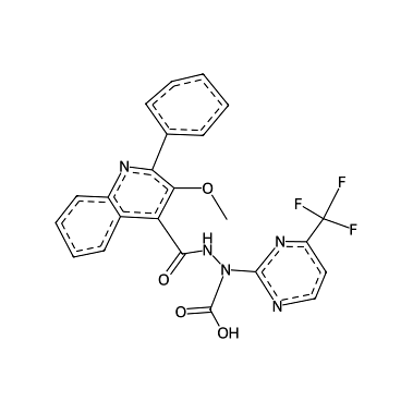 COc1c(-c2ccccc2)nc2ccccc2c1C(=O)NN(C(=O)O)c1nccc(C(F)(F)F)n1